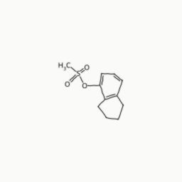 CS(=O)(=O)Oc1cccc2c1CCCC2